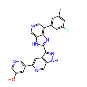 Cc1cc(F)cc(-c2cncc3[nH]c(-c4n[nH]c5cnc(-c6cncc(O)c6)cc45)nc23)c1